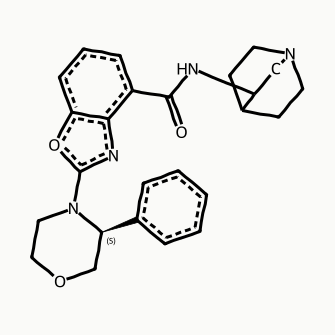 O=C(NC1CN2CCC1CC2)c1cccc2oc(N3CCOC[C@@H]3c3ccccc3)nc12